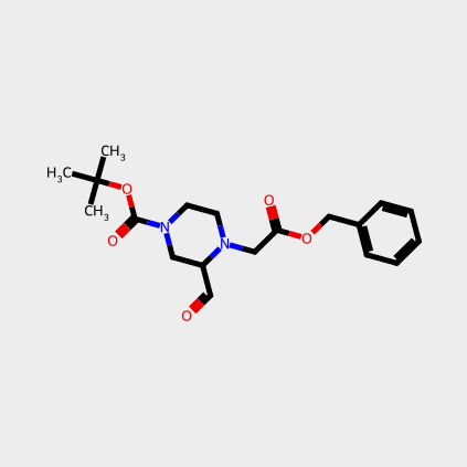 CC(C)(C)OC(=O)N1CCN(CC(=O)OCc2ccccc2)C(C=O)C1